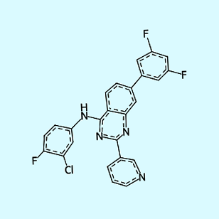 Fc1cc(F)cc(-c2ccc3c(Nc4ccc(F)c(Cl)c4)nc(-c4cccnc4)nc3c2)c1